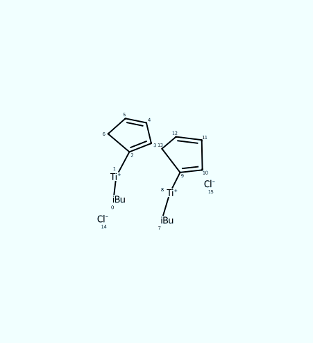 CC[CH](C)[Ti+][C]1=CC=CC1.CC[CH](C)[Ti+][C]1=CC=CC1.[Cl-].[Cl-]